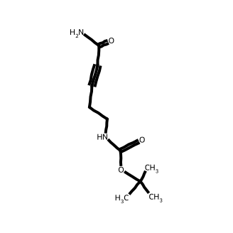 CC(C)(C)OC(=O)NCCC#CC(N)=O